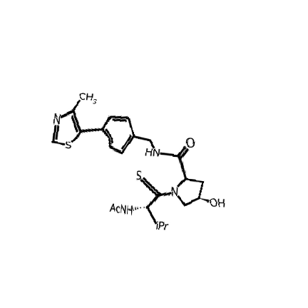 CC(=O)N[C@H](C(=S)N1C[C@H](O)CC1C(=O)NCc1ccc(-c2scnc2C)cc1)C(C)C